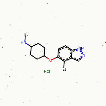 CCNC1CCC(Oc2ccc3[nH]ncc3c2CC)CC1.Cl